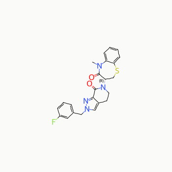 CN1C(=O)[C@@H](N2CCc3cn(Cc4cccc(F)c4)nc3C2=O)CSc2ccccc21